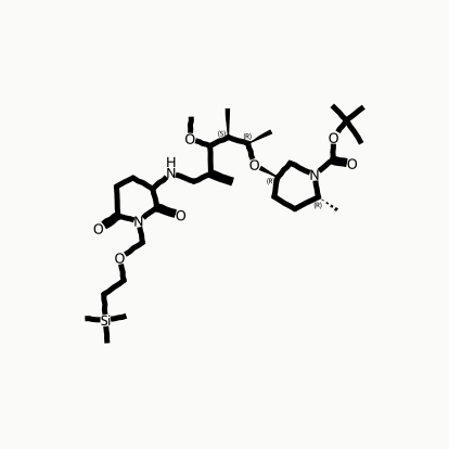 C=C(CNC1CCC(=O)N(COCC[Si](C)(C)C)C1=O)C(OC)[C@@H](C)[C@@H](C)O[C@@H]1CC[C@@H](C)N(C(=O)OC(C)(C)C)C1